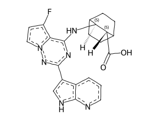 O=C(O)[C@H]1C2CCC(CC2)[C@@H]1Nc1nc(-c2c[nH]c3ncccc23)nn2ccc(F)c12